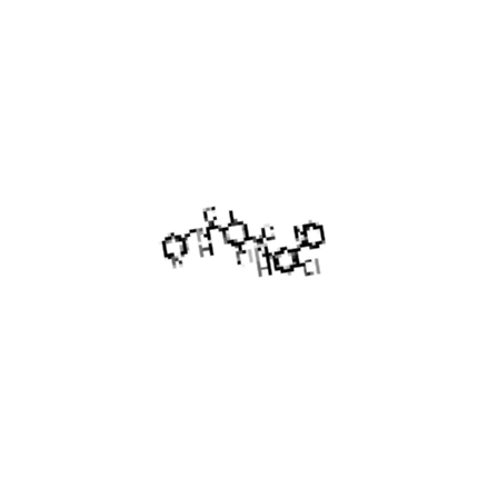 CC1C=C(C(=O)Nc2ccc(Cl)c(-c3ccccn3)c2)C(Cl)=CC1C(=O)NCc1cccnc1